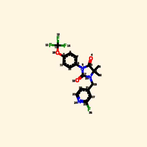 CC1(C)C(=O)N(c2ccc(OC(F)(F)F)cc2)C(=O)N1Cc1ccnc(F)c1